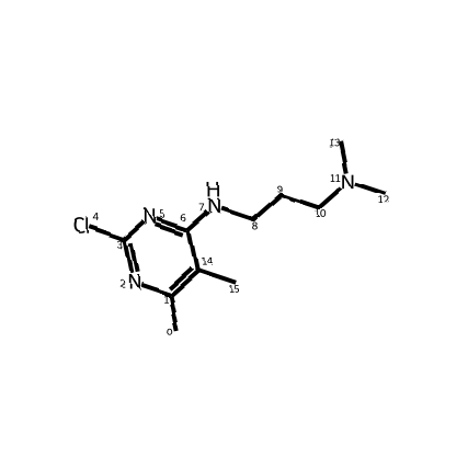 Cc1nc(Cl)nc(NCCCN(C)C)c1C